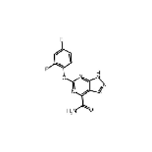 NC(=O)c1nc(Oc2ccc(F)cc2F)nc2[nH]n[c]c12